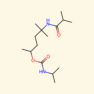 CC(C)NC(=O)OC(C)CCC(C)(C)NC(=O)C(C)C